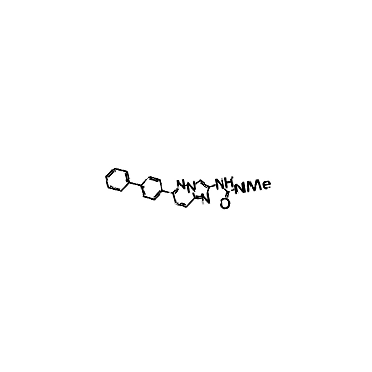 CNC(=O)Nc1cn2nc(-c3ccc(-c4ccccc4)cc3)ccc2n1